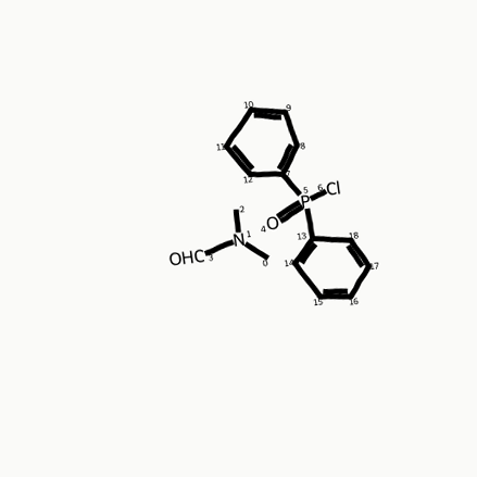 CN(C)C=O.O=P(Cl)(c1ccccc1)c1ccccc1